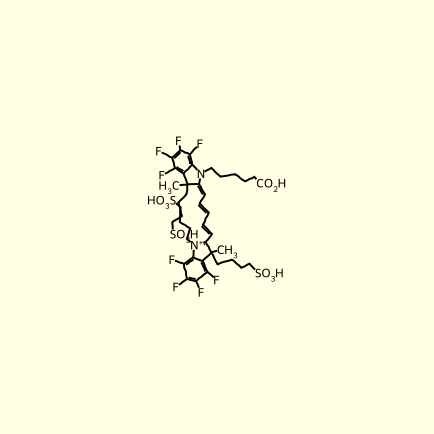 CC1(CCCCS(=O)(=O)O)C(/C=C/C=C/C=C2/N(CCCCCC(=O)O)c3c(F)c(F)c(F)c(F)c3C2(C)CCCCS(=O)(=O)O)=[N+](CCCCS(=O)(=O)O)c2c(F)c(F)c(F)c(F)c21